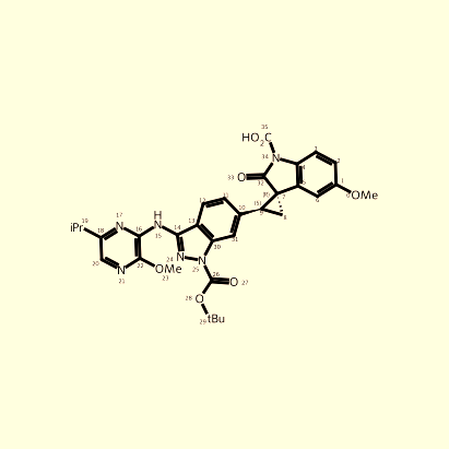 COc1ccc2c(c1)[C@]1(C[C@H]1c1ccc3c(Nc4nc(C(C)C)cnc4OC)nn(C(=O)OC(C)(C)C)c3c1)C(=O)N2C(=O)O